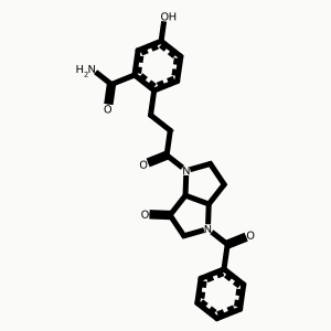 NC(=O)c1cc(O)ccc1C[CH]C(=O)N1CCC2C1C(=O)CN2C(=O)c1ccccc1